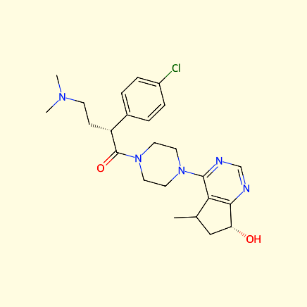 CC1C[C@@H](O)c2ncnc(N3CCN(C(=O)[C@H](CCN(C)C)c4ccc(Cl)cc4)CC3)c21